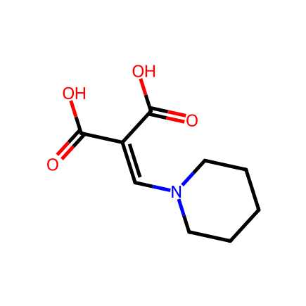 O=C(O)C(=CN1CCCCC1)C(=O)O